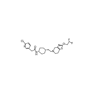 O=C(Cc1ccc(Cl)nc1)N[C@H]1CC[C@H](CCN2CCc3sc(OCC(F)F)nc3C2)CC1